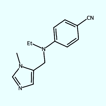 [CH2]CN(Cc1cncn1C)c1ccc(C#N)cc1